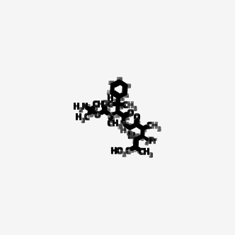 C/C(=C\[C@H](C(C)C)C(C)C(=O)[C@@H](NC(=O)[C@@H](N(C)C(=O)OC(C)(C)N)C(C)(C)c1ccccc1)C(C)(C)C)C(=O)O